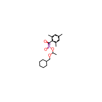 Cc1cc(C)c(C(=O)[PH](=O)OC(C)OCC2CCCCC2)c(C)c1